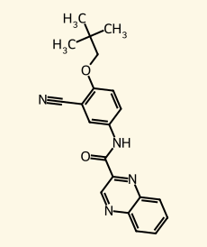 CC(C)(C)COc1ccc(NC(=O)c2cnc3ccccc3n2)cc1C#N